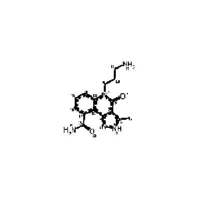 Cc1[nH]nc2c1c(=O)n(CCCN)c1cc[c]c(C(N)=O)c21